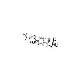 C/C=C/C1COC(C2CCC(c3ccc(Cl)c(Cl)c3)CC2)OC1